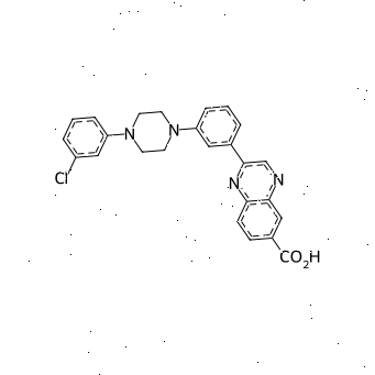 O=C(O)c1ccc2nc(-c3cccc(N4CCN(c5cccc(Cl)c5)CC4)c3)cnc2c1